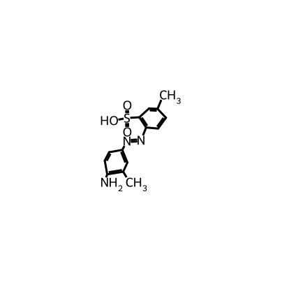 Cc1ccc(/N=N/c2ccc(N)c(C)c2)c(S(=O)(=O)O)c1